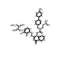 CCN(CC)CCN(Cc1ccc(-c2ccc(C(F)(F)F)cc2)cc1)C(=O)Cn1c(CCc2cccc(F)c2F)nc(=O)c2cccnc21.O=C(O)C(O)C(O)C(=O)O